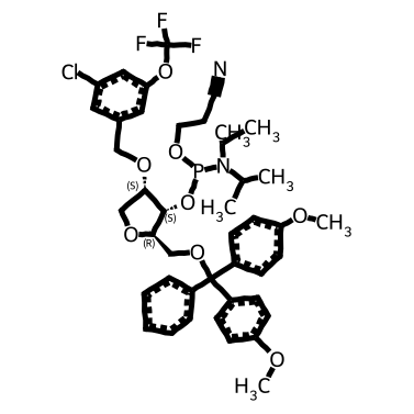 COc1ccc(C(OC[C@H]2OC[C@H](OCc3cc(Cl)cc(OC(F)(F)F)c3)[C@@H]2OP(OCCC#N)N(C(C)C)C(C)C)(c2ccccc2)c2ccc(OC)cc2)cc1